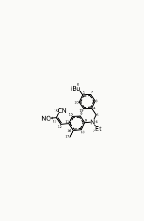 CCC(C)c1ccc(CN(CC)c2ccc(C=C(C#N)C#N)c(C)c2)cc1